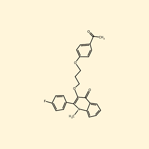 CC(=O)c1ccc(OCCCOc2c(-c3ccc(F)cc3)n(C)c3ccccc3c2=O)cc1